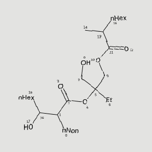 CCCCCCCCCC(C(=O)OC(CC)(CO)COC(=O)C(C)CCCCCC)C(O)CCCCCC